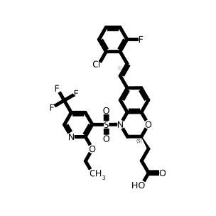 CCOc1ncc(C(F)(F)F)cc1S(=O)(=O)N1C[C@H](CCC(=O)O)Oc2ccc(/C=C/c3c(F)cccc3Cl)cc21